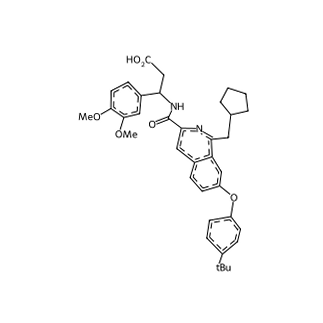 COc1ccc(C(CC(=O)O)NC(=O)c2cc3ccc(Oc4ccc(C(C)(C)C)cc4)cc3c(CC3CCCC3)n2)cc1OC